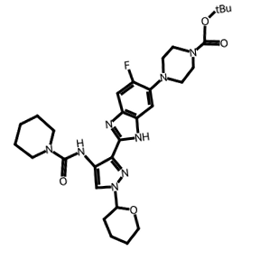 CC(C)(C)OC(=O)N1CCN(c2cc3[nH]c(-c4nn(C5CCCCO5)cc4NC(=O)N4CCCCC4)nc3cc2F)CC1